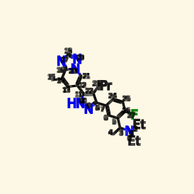 CCN(CC)C(C)c1cc(-c2n[nH]c(-c3cc(C)c4ncnn4c3)c2C(C)C)ccc1F